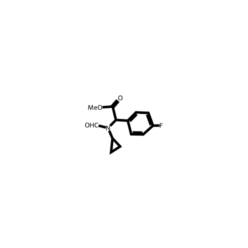 COC(=O)C(c1ccc(F)cc1)N(C=O)C1CC1